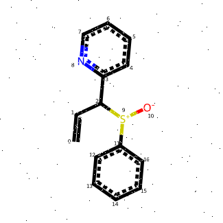 C=CC(c1ccccn1)[S+]([O-])c1ccccc1